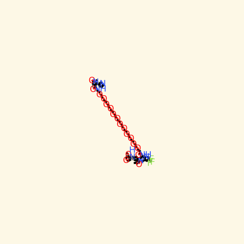 CO[C@@H]1COCC[C@@H]1N[C@@H]1CC[C@@](C(=O)N2Cc3cc(C(F)(F)F)cnc3[C@H](NC(=O)CCOCCOCCOCCOCCOCCOCCOCCOCCOCCOCCOCCOCCNC(=O)[C@H]3CC(=O)N(C)[C@@H]3c3cccnc3)C2)(C(C)C)C1